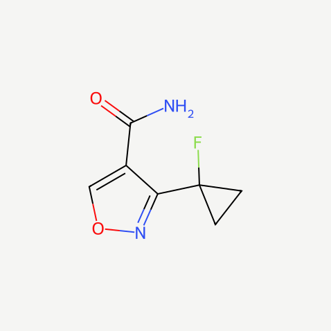 NC(=O)c1conc1C1(F)CC1